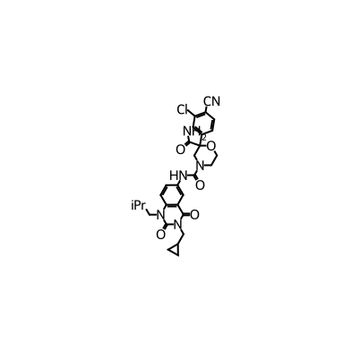 CC(C)Cn1c(=O)n(CC2CC2)c(=O)c2cc(NC(=O)N3CCOC(C(N)=O)(c4ccc(C#N)c(Cl)c4)C3)ccc21